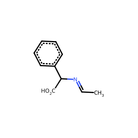 CC=NC(C(=O)O)c1ccccc1